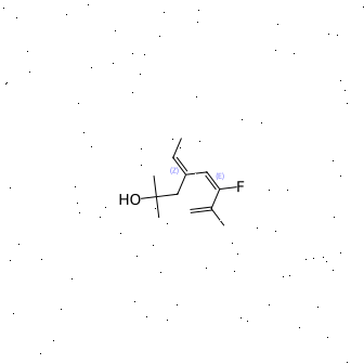 C=C(C)/C(F)=C\C(=C/C)CC(C)(C)O